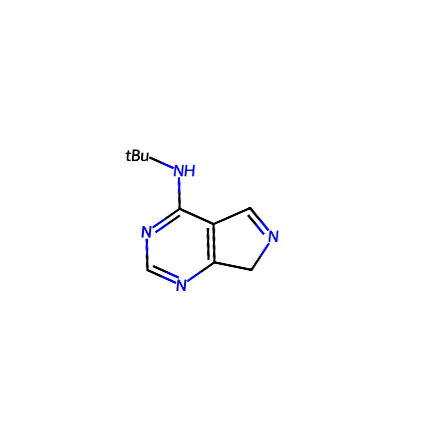 CC(C)(C)Nc1ncnc2c1C=NC2